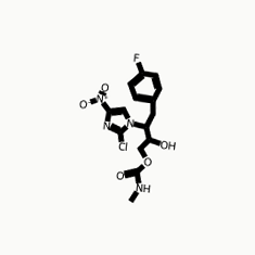 CNC(=O)OCC(O)C(Cc1ccc(F)cc1)n1cc([N+](=O)[O-])nc1Cl